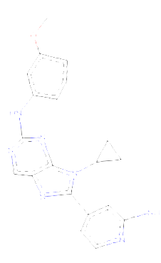 COc1cccc(Nc2ncc3nc(-c4ccnc(N)c4)n(C4CC4)c3n2)c1